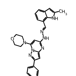 Cc1cc2cccc(C=NNc3cc(N4CCOCC4)n4nc(-c5ccccc5)cc4n3)c2[nH]1